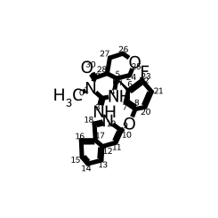 CN1C(=N)N[C@@]2(c3cc(Oc4cc5ccccc5cn4)ccc3F)COCCC2C1=O